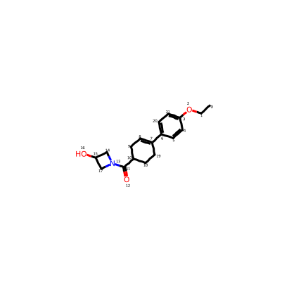 CCOc1ccc(C2=CCC(C(=O)N3CC(O)C3)CC2)cc1